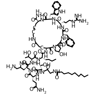 CCCCCCCCCC(=O)NCC(=O)N[C@@H](CO)C(=O)N[C@H](CCC(N)=O)C(=O)N[C@@H](CC(N)CN)C(=O)N[C@H](C(=O)N[C@@H](CCCC)C(=O)N[C@H]1CCC(=O)NCCCC[C@@H](C(N)=O)NC(=O)[C@H](Cc2c[nH]c3ccccc23)NC(=O)[C@H](CCCNC(=N)N)NC(=O)[C@@H](Cc2ccccc2)NC(=O)[C@@H]2C[C@@H](O)CN2C1=O)C(C)O